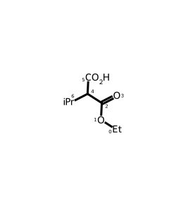 CCOC(=O)C(C(=O)O)C(C)C